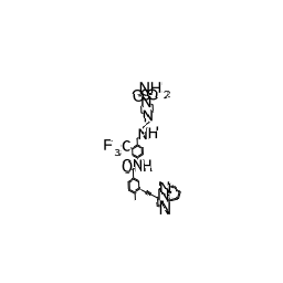 Cc1ccc(C(=O)Nc2ccc(CNCCN3CCN(S(N)(=O)=O)CC3)c(C(F)(F)F)c2)cc1C#Cc1cnc2cccnn12